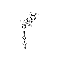 CC(C)(C(=O)Nc1ccc(C#N)c(C(F)(F)F)c1)n1cc(C#CC2CN(C3CNC3)C2)cn1